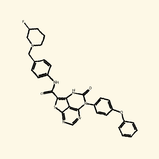 O=C(Nc1ccc(CN2CCCC(F)C2)cc1)c1sc2ncnc3c2c1NC(=O)N3c1ccc(Oc2ccccc2)cc1